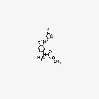 COCC(=O)N(C)c1ccc2c(c1)N(Cc1c[nH]cn1)CC2